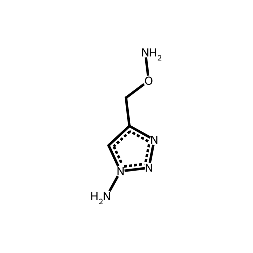 NOCc1cn(N)nn1